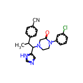 CC(c1ccc(C#N)cc1)C(c1cnc[nH]1)N1CCN(c2cccc(Cl)c2)C(=O)C1